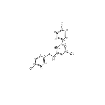 O=[N+]([O-])C=C(NCc1ccc(Cl)nc1)NCc1ccc(Cl)nc1